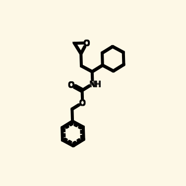 O=C(NC(CC1CO1)C1CCCCC1)OCc1ccccc1